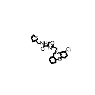 O=C(NCc1cccs1)c1coc(CN2Cc3ccccc3Oc3ccc(Cl)cc32)n1